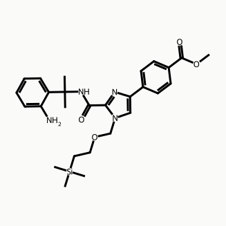 COC(=O)c1ccc(-c2cn(COCC[Si](C)(C)C)c(C(=O)NC(C)(C)c3ccccc3N)n2)cc1